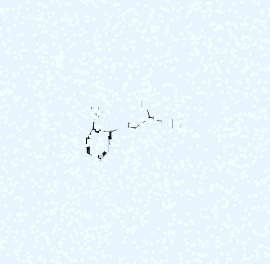 CC(F)COc1ncccc1N=O